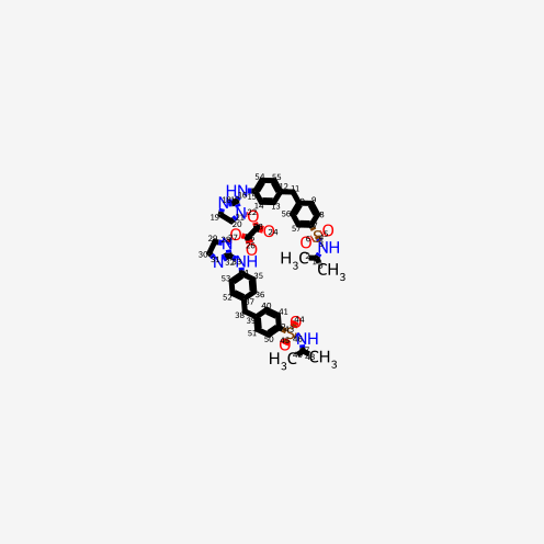 CC(C)NS(=O)(=O)c1ccc(Cc2ccc(NC3=NCCN3OC(=O)C(=O)ON3CCN=C3Nc3ccc(Cc4ccc(S(=O)(=O)NC(C)C)cc4)cc3)cc2)cc1